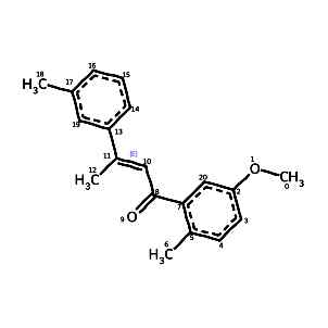 COc1ccc(C)c(C(=O)/C=C(\C)c2cccc(C)c2)c1